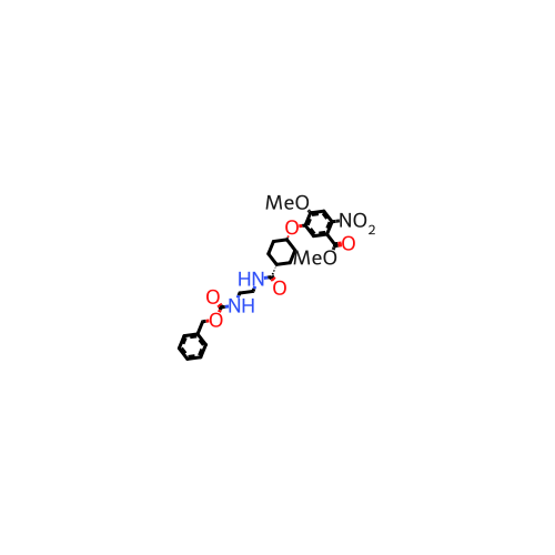 COC(=O)c1cc(O[C@H]2CC[C@@H](C(=O)NCCNC(=O)OCc3ccccc3)CC2)c(OC)cc1[N+](=O)[O-]